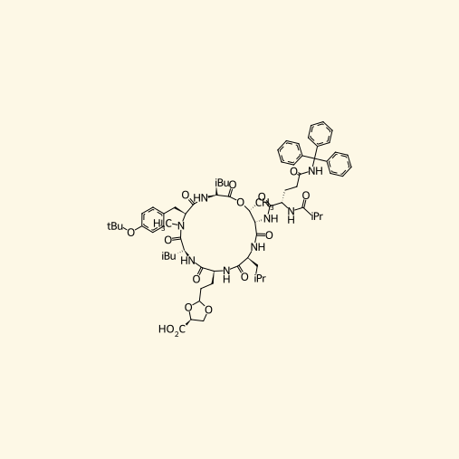 CC[C@H](C)[C@@H]1NC(=O)[C@H](Cc2ccc(OC(C)(C)C)cc2)N(C)C(=O)[C@H]([C@@H](C)CC)NC(=O)[C@H](CCC2OC[C@@H](C(=O)O)O2)NC(=O)[C@H](CC(C)C)NC(=O)[C@@H](NC(=O)[C@H](CCC(=O)NC(c2ccccc2)(c2ccccc2)c2ccccc2)NC(=O)C(C)C)[C@@H](C)OC1=O